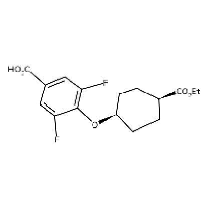 CCOC(=O)[C@H]1CC[C@@H](Oc2c(F)cc(C(=O)O)cc2F)CC1